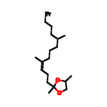 CC(=CCCC1(C)OCC(C)O1)CCCC(C)CCCC(C)C